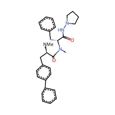 CN[C@H](Cc1ccc(-c2ccccc2)cc1)C(=O)N(C)[C@H](Cc1ccccc1)C(=O)NN1CCCC1